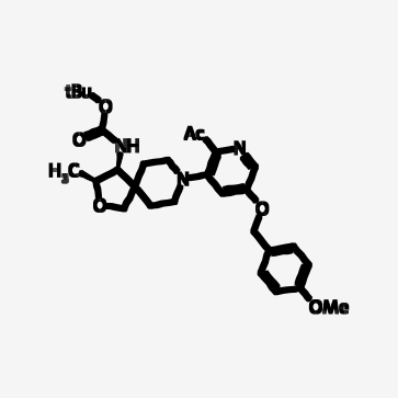 COc1ccc(COc2cnc(C(C)=O)c(N3CCC4(CC3)CO[C@@H](C)[C@H]4NC(=O)OC(C)(C)C)c2)cc1